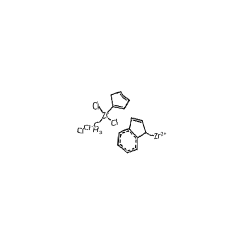 [CH3][Zr]([Cl])([Cl])[C]1=CC=CC1.[Cl-].[Cl-].[Zr+2][CH]1C=Cc2ccccc21